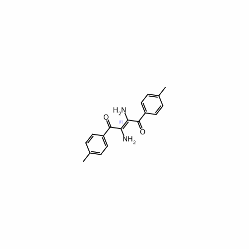 Cc1ccc(C(=O)/C(N)=C(\N)C(=O)c2ccc(C)cc2)cc1